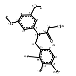 COc1cc(OC)cc(N(Cc2ccc(Br)c(F)c2F)C(=O)CCl)c1